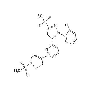 CS(=O)(=O)N1CC=C(c2cccc(C3CC(C(F)(F)C(F)(F)F)=NN3c3ccccc3Cl)n2)CC1